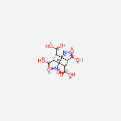 NC(CC(=O)O)(CC(=O)O)C(CC(=O)O)(CC(=O)O)NO